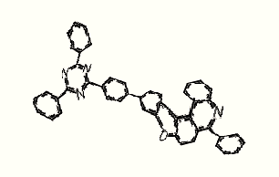 c1ccc(-c2nc(-c3ccccc3)nc(-c3ccc(-c4ccc5c(c4)oc4ccc6c(-c7ccccc7)nc7ccccc7c6c45)cc3)n2)cc1